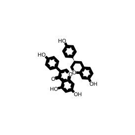 O=c1c(-c2ccc(O)cc2)coc2cc(O)cc(O)c12.Oc1ccc([C@H]2COc3cc(O)ccc3C2)cc1